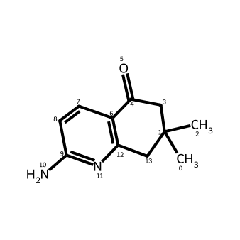 CC1(C)CC(=O)c2ccc(N)nc2C1